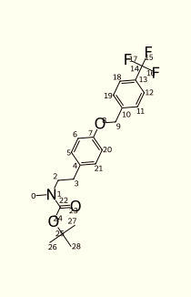 CN(CCc1ccc(OCc2ccc(C(F)(F)F)cc2)cc1)C(=O)OC(C)(C)C